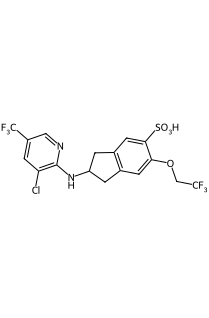 O=S(=O)(O)c1cc2c(cc1OCC(F)(F)F)CC(Nc1ncc(C(F)(F)F)cc1Cl)C2